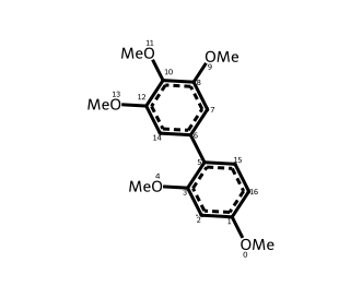 COc1[c]c(OC)c(-c2cc(OC)c(OC)c(OC)c2)cc1